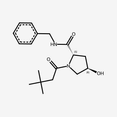 CC(C)(C)CC(=O)N1C[C@H](O)C[C@H]1C(=O)NCc1ccccc1